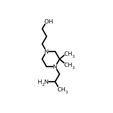 CC(N)CN1CCN(CCCO)CC1(C)C